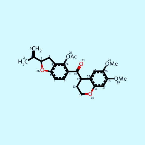 C=C(C)C1Cc2c(ccc(C(=O)C3CCOc4cc(OC)c(OC)cc43)c2OC(C)=O)O1